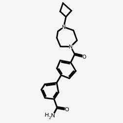 NC(=O)c1cccc(-c2ccc(C(=O)N3CCCN(C4CCC4)CC3)cc2)c1